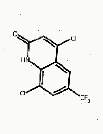 O=c1cc(Cl)c2cc(C(F)(F)F)cc(Cl)c2[nH]1